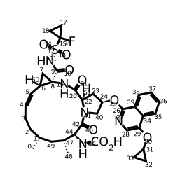 C[C@@H]1CCC=C[C@@H]2C[C@@]2(C(=O)NS(=O)(=O)C2(F)CC2)NC(=O)[C@@H]2C[C@@H](Oc3ncc(OC4CC4)c4ccccc34)CN2C(=O)[C@@H](NC(=O)O)[C@H](C)C1